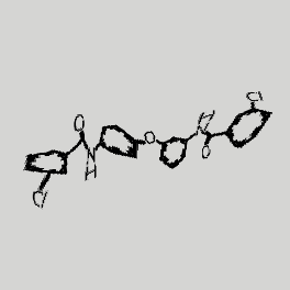 O=C(Nc1ccc(Oc2cccc(NC(=O)c3cccc(Cl)c3)c2)cc1)c1cccc(Cl)c1